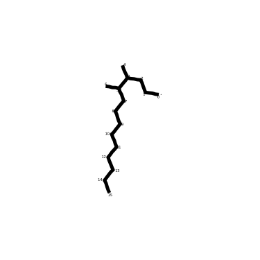 [CH2]CCC(C)C(C)CCCCCCCCC